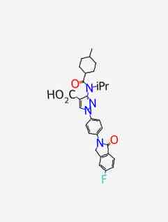 CC1CCC(C(=O)N(c2nn(-c3ccc(N4Cc5cc(F)ccc5C4=O)cc3)cc2C(=O)O)C(C)C)CC1